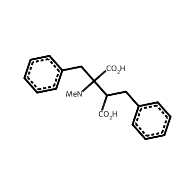 CNC(Cc1ccccc1)(C(=O)O)C(Cc1ccccc1)C(=O)O